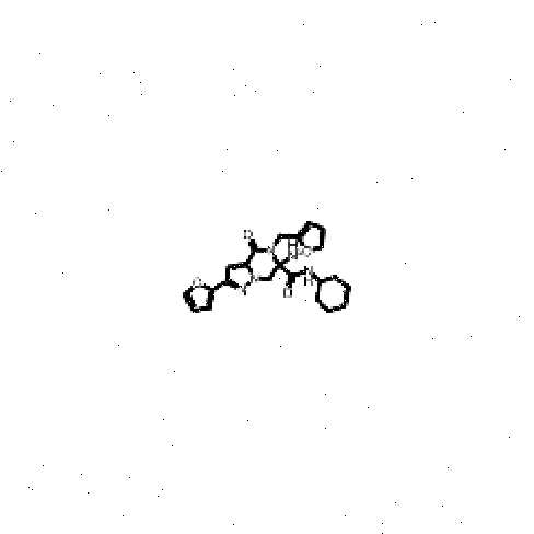 NC1(C(=O)NC2CCCCC2)Cn2nc(-c3ccco3)cc2C(=O)N1Cc1ccco1